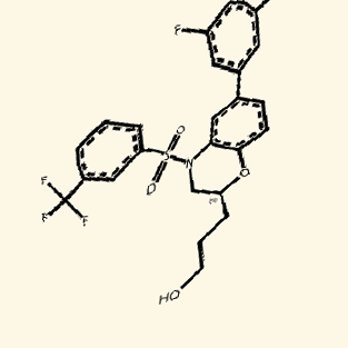 O=S(=O)(c1cccc(C(F)(F)F)c1)N1C[C@H](CCCO)Oc2ccc(-c3cc(F)cc(F)c3)cc21